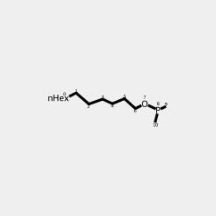 CCCCCCCCCCCCOP(C)C